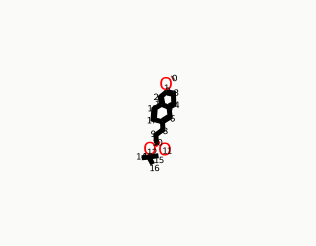 COc1ccc2cc(CCC(=O)OC(C)(C)C)ccc2c1